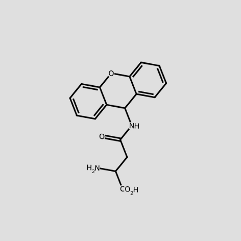 NC(CC(=O)NC1c2ccccc2Oc2ccccc21)C(=O)O